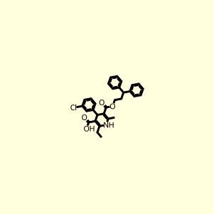 CCC1=C(C(=O)O)C(c2cccc(Cl)c2)C(C(=O)OCCC(c2ccccc2)c2ccccc2)=C(C)N1